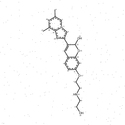 Cc1cn2cc(C3=Cc4ccc(OCCNCCO)cc4OC3O)nc2c(C)n1